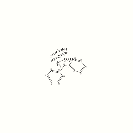 CCOC(N)=O.N=C=O.N=C=O.c1ccc(Cc2ccccc2)cc1